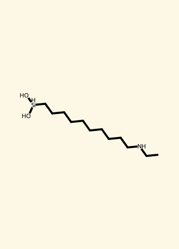 CCNCCCCCCCCCC[SiH](O)O